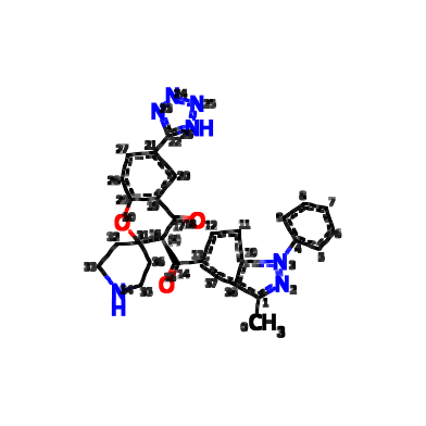 Cc1nn(-c2ccccc2)c2ccc(C(=O)[C@@H]3C(=O)c4cc(-c5nnn[nH]5)ccc4OC34CCNCC4)cc12